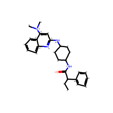 CCC(C(=O)NC1CCC(Nc2cc(N(C)C)c3ccccc3n2)CC1)c1ccccc1